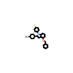 N#CC1CCC(c2cc3c(OCc4ccccc4)cccc3n2-c2ccc(F)cc2)CC1